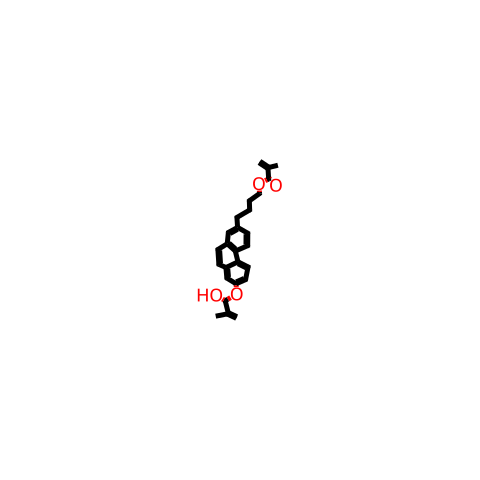 C=C(C)C(=O)OCCCCc1ccc2c(ccc3cc(OC(O)C(=C)C)ccc32)c1